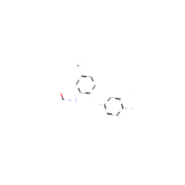 CC(=O)Nc1cc(C(F)(F)F)ccc1Oc1cc(C)c(Cl)c(C)c1